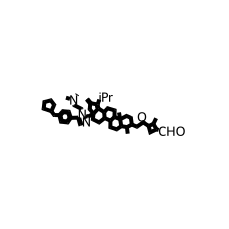 C=C1CC2(c3ncc(-c4ccc(CC5CCCC5)cc4)n3CCN(C)C)CCC3C(CCC4C3CCC3C(C)C(CC(=O)C5CC(C=O)C5C)CCC34C)C2=C1C(C)C